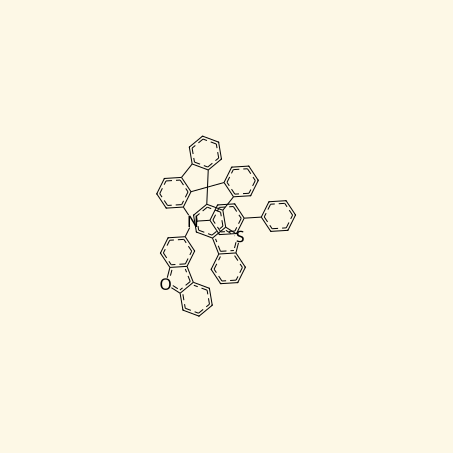 c1ccc(-c2ccc(N(c3ccc4oc5ccccc5c4c3)c3cccc4c3C3(c5ccccc5-4)c4ccccc4-c4c3ccc3c4sc4ccccc43)cc2)cc1